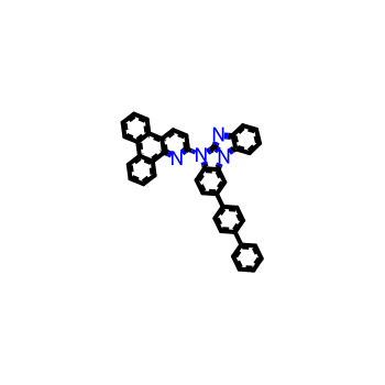 c1ccc(-c2ccc(-c3ccc4c(c3)n3c5ccccc5nc3n4-c3ccc4c5ccccc5c5ccccc5c4n3)cc2)cc1